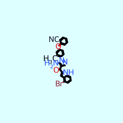 Cc1cc(Oc2ccccc2C#N)ccc1-n1ncc(C(=O)c2cc3c(Br)cccc3[nH]2)c1N